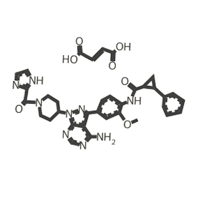 COc1cc(-c2nn(C3CCN(C(=O)c4ncc[nH]4)CC3)c3ncnc(N)c23)ccc1NC(=O)C1CC1c1ccccc1.O=C(O)C=CC(=O)O